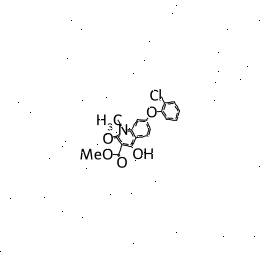 COC(=O)c1c(O)c2ccc(Oc3ccccc3Cl)cc2n(C)c1=O